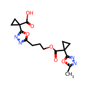 Cc1nnc(C2(C(=O)OCCCc3nnc(C4(C(=O)O)CC4)o3)CC2)o1